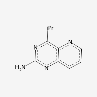 CC(C)c1nc(N)nc2cccnc12